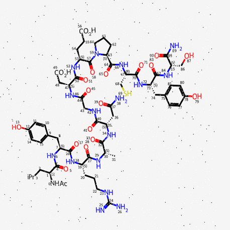 CC(=O)N[C@@H](CC(C)C)C(=O)N[C@@H](Cc1ccc(O)cc1)C(=O)N[C@@H](CCCNC(=N)N)C(=O)N[C@@H](C)C(=O)N[C@@H](CC(N)=O)C(=O)NCC(=O)N[C@@H](CC(=O)O)C(=O)N[C@@H](CCC(=O)O)C(=O)N1CCC[C@H]1C(=O)N[C@@H](CS)C(=O)N[C@@H](Cc1ccc(O)cc1)C(=O)N[C@@H](CO)C(N)=O